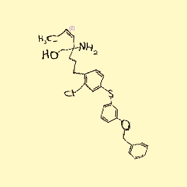 C/C=C\C(N)(CO)CCCc1ccc(Sc2cccc(OCc3ccccc3)c2)cc1Cl